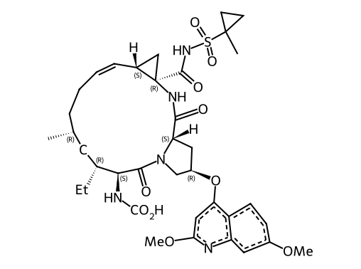 CC[C@@H]1C[C@H](C)CCC=C[C@@H]2C[C@@]2(C(=O)NS(=O)(=O)C2(C)CC2)NC(=O)[C@@H]2C[C@@H](Oc3cc(OC)nc4cc(OC)ccc34)CN2C(=O)[C@H]1NC(=O)O